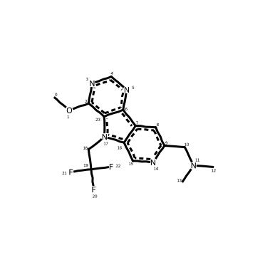 COc1ncnc2c3cc(CN(C)C)ncc3n(CC(F)(F)F)c12